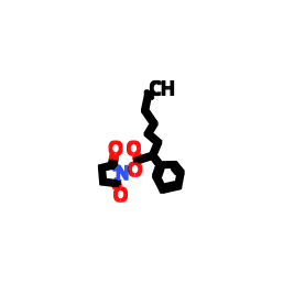 C#CCCCCC(C(=O)ON1C(=O)CCC1=O)c1ccccc1